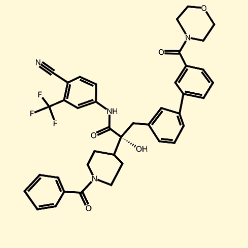 N#Cc1ccc(NC(=O)[C@@](O)(Cc2cccc(-c3cccc(C(=O)N4CCOCC4)c3)c2)C2CCN(C(=O)c3ccccc3)CC2)cc1C(F)(F)F